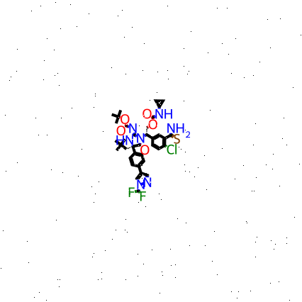 CC(C)(C)C[C@]1(c2ccc(-c3cnn(C(F)F)c3)cc2)NC(=NC(=O)OC(C)(C)C)N([C@H](COC(=O)NC2CC2)c2ccc(Cl)c(C(N)=S)c2)C1=O